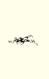 CCOC(=O)C(C(=O)OCC)=C1SC2=C(S1)C(=O)N(C)C2=O